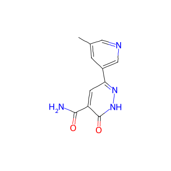 Cc1cncc(-c2cc(C(N)=O)c(=O)[nH]n2)c1